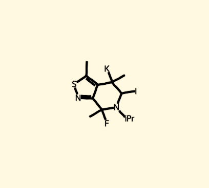 Cc1snc2c1[C](C)([K])C(I)N(C(C)C)C2(C)F